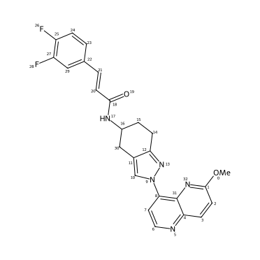 COc1ccc2nccc(-n3cc4c(n3)CCC(NC(=O)/C=C/c3ccc(F)c(F)c3)C4)c2n1